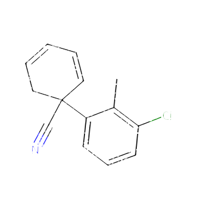 Cc1c(Cl)cccc1C1(C#N)C=CC=CC1